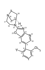 COc1cccc(F)c1-c1cnc2nc(N3CCN4CC[C@@H]3C4)oc2c1